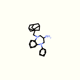 NC1CN(CC23CC4CC(CC(C4)C2)C3)c2ccccc2N(c2ccccc2)C1